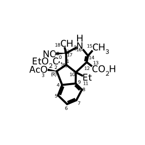 CCOC(=O)[C@@]12[C@H](OC(C)=O)c3ccccc3C1(CC)C(C(=O)O)=C(C)N[C@]2(C)C#N